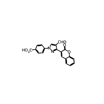 O=Cc1cn(-c2ccc(C(=O)O)cc2)nc1-c1cc2ccccc2oc1=O